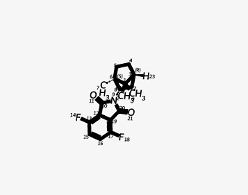 CC1(C)[C@@H]2CC[C@]1(C)[C@@H](N1C(=O)c3c(F)ccc(F)c3C1=O)C2